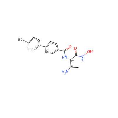 CCc1ccc(-c2ccc(C(=O)N[C@H](C(=O)NO)[C@@H](C)N)cc2)cc1